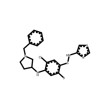 Fc1cc(NC2CCN(Cc3ccccc3)C2)c(Cl)cc1SNc1cscn1